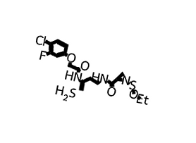 C=C(CCNC(=O)C1CN1SOCC)NC(=O)COc1ccc(Cl)c(F)c1.S